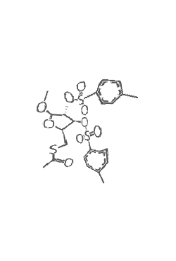 COC1O[C@H](CSC(C)=O)[C@H](OS(=O)(=O)c2ccc(C)cc2)[C@H]1OS(=O)(=O)c1ccc(C)cc1